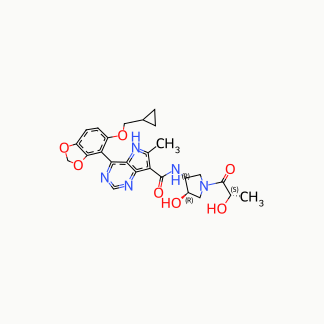 Cc1[nH]c2c(-c3c(OCC4CC4)ccc4c3OCO4)ncnc2c1C(=O)N[C@@H]1CN(C(=O)[C@H](C)O)C[C@H]1O